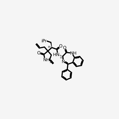 C=CCC(CC=C)(C(N)=O)[C@@H](CC(C)C)C(=O)N[C@H]1N=C(c2ccccc2)c2ccccc2NC1=O